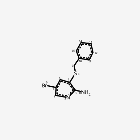 Nc1ncc(Br)cc1SCc1ccccc1